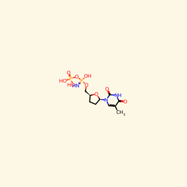 Cc1cn([C@H]2CC[C@@H](COP(=N)(O)OP(=O)(O)O)O2)c(=O)[nH]c1=O